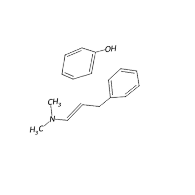 CN(C)C=CCc1ccccc1.Oc1ccccc1